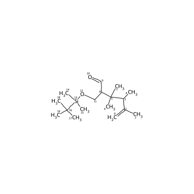 C=C(C)C(C)C(C)(C)C(C=O)CO[Si](C)(C)C(C)(C)C